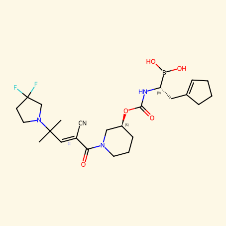 CC(C)(/C=C(\C#N)C(=O)N1CCC[C@H](OC(=O)N[C@@H](CC2=CCCC2)B(O)O)C1)N1CCC(F)(F)C1